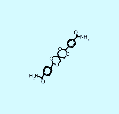 NC(=O)c1ccc(C2OCC3(CO2)COC(c2ccc(C(N)=O)cc2)OC3)cc1